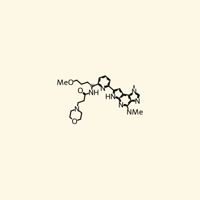 CNc1nc2[nH]c(-c3cccc([C@H](CCCOC)NC(=O)CCN4CCOCC4)n3)cc2c2c1ncn2C